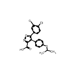 CC(C)Oc1ccc(-c2c(C(=O)O)noc2-c2ccc(Cl)c(Cl)c2)cc1